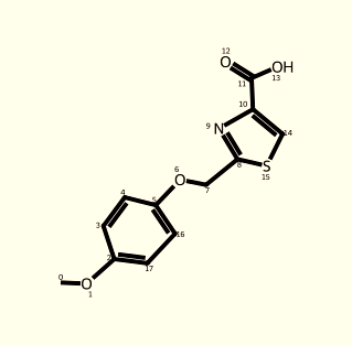 COc1ccc(OCc2nc(C(=O)O)cs2)cc1